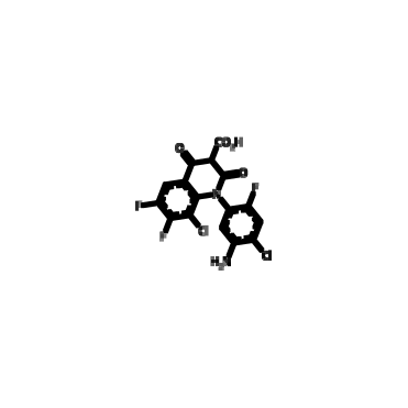 Nc1cc(N2C(=O)C(C(=O)O)C(=O)c3cc(F)c(F)c(Cl)c32)c(F)cc1Cl